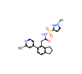 CC(C)n1ccc(S(=O)(=O)NC(=O)Cc2c(-c3ccnc(C#N)c3)ccc3c2CCC3)n1